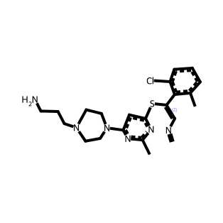 C=N/C=C(\Sc1cc(N2CCN(CCCN)CC2)nc(C)n1)c1c(C)cccc1Cl